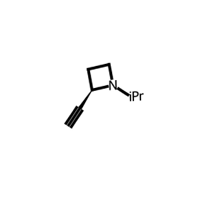 C#C[C@H]1CCN1C(C)C